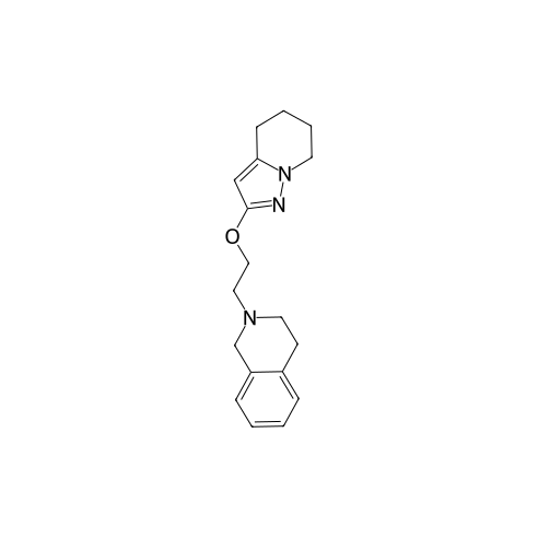 c1ccc2c(c1)CCN(CCOc1cc3n(n1)CCCC3)C2